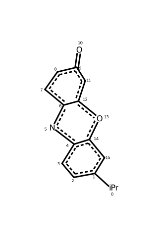 CC(C)c1ccc2nc3ccc(=O)cc-3oc2c1